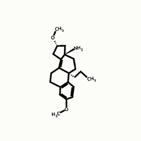 CCC[C@@]12CC[C@@]3(N)C[C@@H](OC)CC3=C1CCc1cc(OC)ccc12